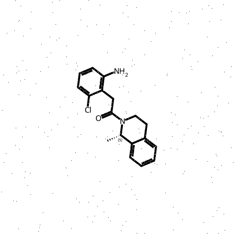 C[C@H]1c2ccccc2CCN1C(=O)Cc1c(N)cccc1Cl